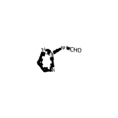 O=CNn1nccn1